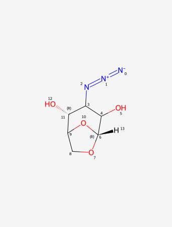 [N-]=[N+]=NC1C(O)[C@@H]2OCC(O2)[C@@H]1O